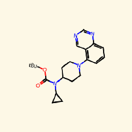 CC(C)(C)OC(=O)N(C1CC1)C1CCN(c2cccc3ncncc23)CC1